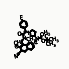 COc1c(C#N)cc2ccccc2c1CN(C)C(=O)[C@@H](c1ccc(F)cc1)N1CCC(N(C)C(=O)OC(C)(C)C)C1